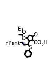 CCCCC/C=C/C(Sc1ccccc1)C1C(OC(C)OCC)CC(=O)C1C(=O)O